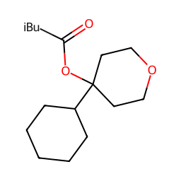 CCC(C)C(=O)OC1(C2CCCCC2)CCOCC1